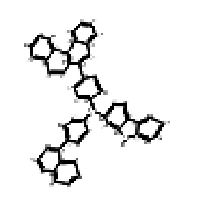 c1ccc2c(-c3ccc(N(c4ccc(-c5cc6ccccc6c6c5ccc5ccccc56)cc4)c4ccc5c(c4)oc4ccccc45)cc3)cccc2c1